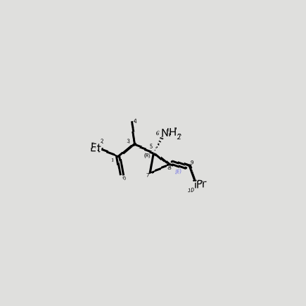 C=C(CC)C(C)[C@]1(N)C/C1=C\C(C)C